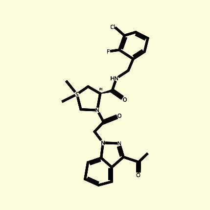 CC(=O)c1nn(CC(=O)N2CS(C)(C)C[C@H]2C(=O)NCc2cccc(Cl)c2F)c2ccccc12